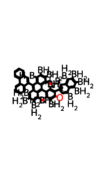 Bc1c(-c2c3c(B)c(B)c(B)c(B)c3c(-c3cc4ccccc4c4ccccc34)c3c(B)c(B)c(B)c(B)c23)c(B)c2c(oc3c(B)c4c(B)c(B)c(B)c(B)c4c(B)c32)c1B